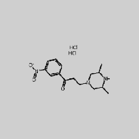 CC1CN(CCC(=O)c2cccc([N+](=O)[O-])c2)CC(C)N1.Cl.Cl